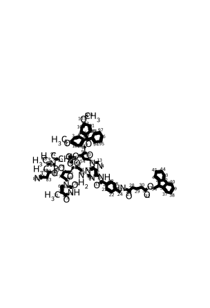 COc1ccc(C(OC[C@H]2O[C@@H](n3cnc4c(NC(=O)c5ccc(CNC(=O)CCCC(=O)OCC6c7ccccc7-c7ccccc76)cc5)ncnc43)CC2OP(=O)(OCCN)OC[C@H]2OC(n3cc(C)c(=O)[nH]c3=O)CC2OP(OCCC#N)N(C(C)C)C(C)C)(c2ccccc2)c2ccc(OC)cc2)cc1